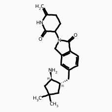 C=C1CCC(N2Cc3cc(C[C@@H]4CC(C)(C)C[C@H]4N)ccc3C2=O)C(=O)N1